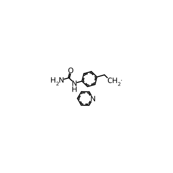 [CH2]Cc1ccc(NC(N)=O)cc1.c1ccncc1